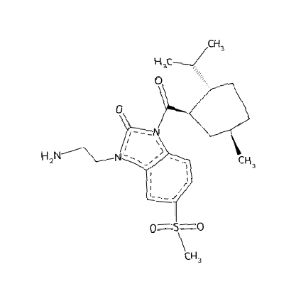 CC(C)[C@@H]1CC[C@@H](C)C[C@H]1C(=O)n1c(=O)n(CCN)c2cc(S(C)(=O)=O)ccc21